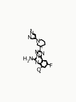 COc1cc(F)cc2c1nc(N)n1nc([C@@H]3CCCN(c4cnn(C)c4)C3)nc21